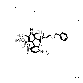 CC1=C(C(=O)OCCOCc2ccccc2)C(c2cccc([N+](=O)[O-])c2)C(P(=O)(OC(C)C)OC(C)C)=C(C)N1